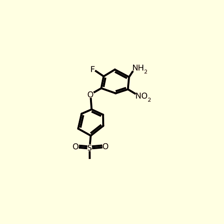 CS(=O)(=O)c1ccc(Oc2cc([N+](=O)[O-])c(N)cc2F)cc1